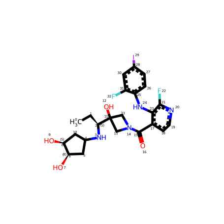 CC[C@H](NC1C[C@@H](O)[C@@H](O)C1)C1(O)CN(C(=O)c2ccnc(F)c2Nc2ccc(I)cc2F)C1